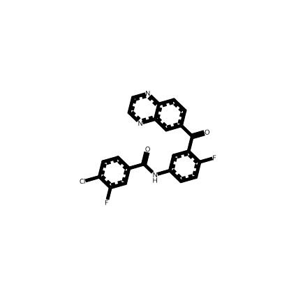 O=C(Nc1ccc(F)c(C(=O)c2ccc3nccnc3c2)c1)c1ccc(Cl)c(F)c1